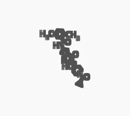 Cc1ccc(C)c(C(=O)Nc2cc3c(=O)n(CC4(O)CCN(C(=O)C5CC5)CC4)cnn3c2)c1